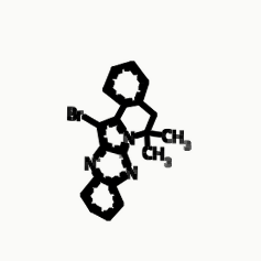 CC1(C)Cc2ccccc2-c2c(Br)c3nc4ccccc4nc3n21